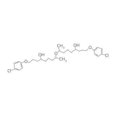 CC(CCCC(O)CCCOc1ccc(Cl)cc1)OC(C)CCCC(O)CCCOc1ccc(Cl)cc1